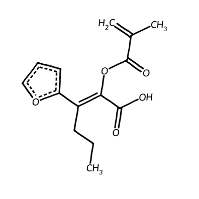 C=C(C)C(=O)O/C(C(=O)O)=C(/CCC)c1ccco1